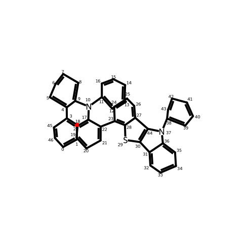 c1ccc(-c2ccccc2N(c2ccccc2)c2ccccc2-c2cccc3c2sc2c4ccccc4n(-c4ccccc4)c32)cc1